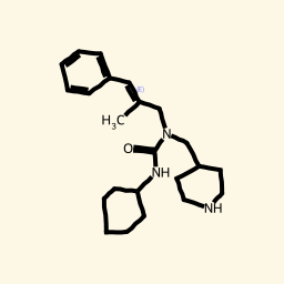 C/C(=C\c1ccccc1)CN(CC1CCNCC1)C(=O)NC1CCCCC1